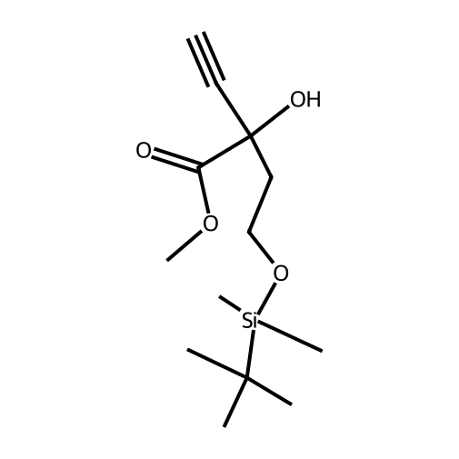 C#CC(O)(CCO[Si](C)(C)C(C)(C)C)C(=O)OC